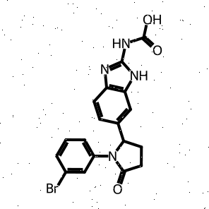 O=C(O)Nc1nc2ccc(C3CCC(=O)N3c3cccc(Br)c3)cc2[nH]1